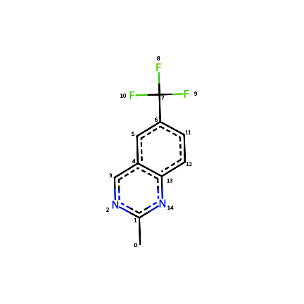 Cc1ncc2cc(C(F)(F)F)ccc2n1